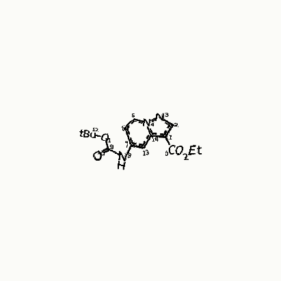 CCOC(=O)c1cnn2ccc(NC(=O)OC(C)(C)C)cc12